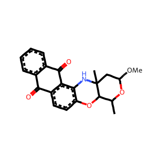 COC1CC2(C)Nc3c(ccc4c3C(=O)c3ccccc3C4=O)OC2C(C)O1